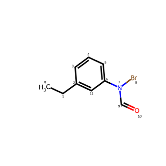 CCc1cccc(N(Br)[C]=O)c1